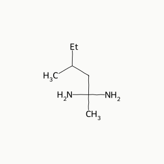 CCC(C)CC(C)(N)N